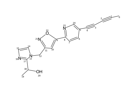 CC#CC#Cc1ccc(-c2cc(Cn3ccnc3C(C)O)no2)nc1